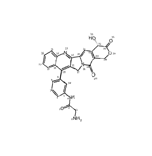 NCC(=O)Nc1cccc(-c2c3c(nc4ccccc24)-c2cc4c(c(=O)n2C3)COC(=O)[C@H]4O)c1